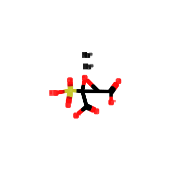 O=C([O-])C1OC1(C(=O)[O-])S(=O)(=O)O.[Na+].[Na+]